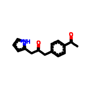 CC(=O)c1ccc(CC(=O)Cc2ccc[nH]2)cc1